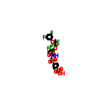 CC(F)(Oc1cc(F)cc(F)c1)C(F)(F)OC(F)(F)C(C)(F)S(=O)(=O)NCS(=O)(=O)c1ccc(S(=O)(=O)O)cc1